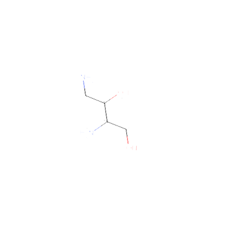 NCC(O)C(N)CO